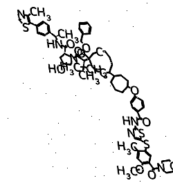 COc1cc(C)c(Sc2cnc(NC(=O)c3ccc(OC4CCCC(C5CCCCCC(C(=O)OCc6ccccc6)([C@H](C(=O)N6C[C@H](O)C[C@H]6C(=O)N[C@@H](C)c6ccc(-c7scnc7C)cc6)C(C)(C)C)CCC5)CC4)cc3)s2)cc1C(=O)N1CCOCC1